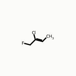 CC=C(Cl)CF